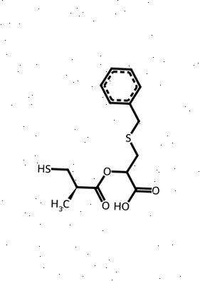 C[C@@H](CS)C(=O)OC(CSCc1ccccc1)C(=O)O